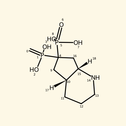 C=P(O)(O)C1(P(=O)(O)O)C[C@H]2CCCN[C@H]2C1